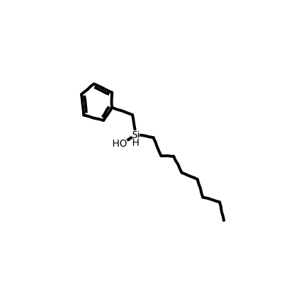 CCCCCCCC[SiH](O)Cc1ccccc1